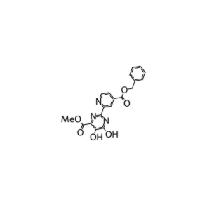 COC(=O)c1nc(-c2cc(C(=O)OCc3ccccc3)ccn2)nc(O)c1O